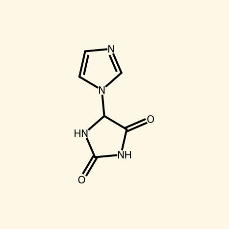 O=C1NC(=O)C(n2ccnc2)N1